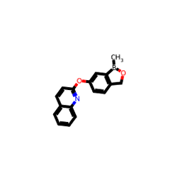 CB1OCc2ccc(Oc3ccc4ccccc4n3)cc21